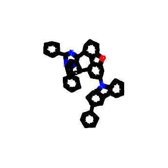 c1ccc(-c2ccc3c(c2)c2ccccc2n3-c2cc(-c3ccccc3)c3c(c2)oc2cccc(-c4nc(-c5ccccc5)nc(-c5ccccc5)n4)c23)cc1